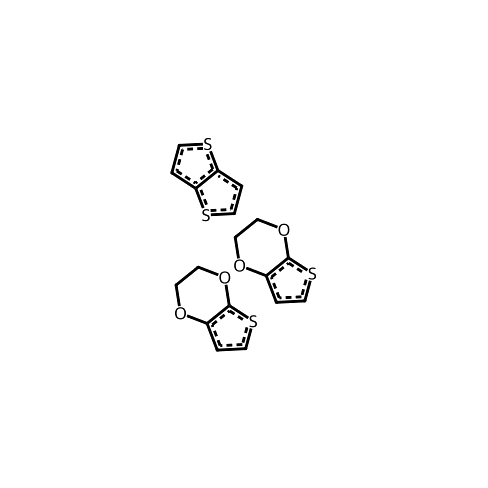 c1cc2c(s1)OCCO2.c1cc2c(s1)OCCO2.c1cc2sccc2s1